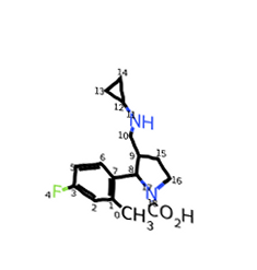 Cc1cc(F)ccc1C1C(CNC2CC2)CCN1C(=O)O